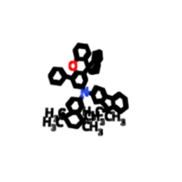 CC1(C)CCC(C)(C)c2cc(N(c3ccc4c(c3)C(C)(C)c3ccccc3-4)c3cc(-c4ccccc4)c4c(c3)C3(c5ccccc5O4)C4CC5CC(C4)C3C5)ccc21